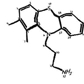 Cc1ccc2c(c1C)N(CCCN)c1ccccc1S2